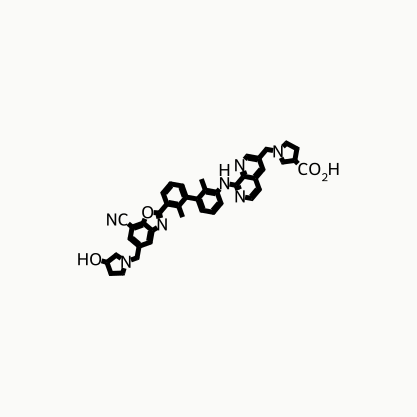 Cc1c(Nc2nccc3cc(CN4CCC(C(=O)O)C4)cnc23)cccc1-c1cccc(-c2nc3cc(CN4CCC(O)C4)cc(C#N)c3o2)c1C